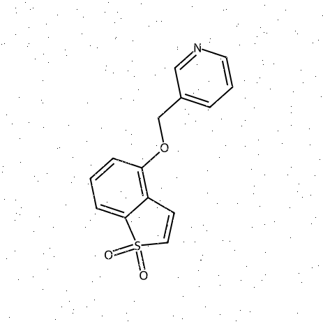 O=S1(=O)C=Cc2c(OCc3cccnc3)cccc21